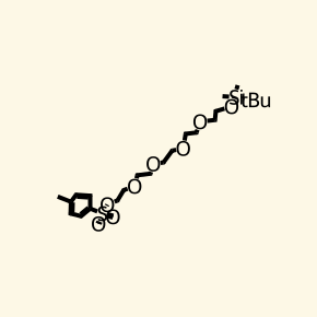 Cc1ccc(S(=O)(=O)OCCOCCOCCOCCOCCO[Si](C)(C)C(C)(C)C)cc1